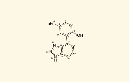 CCCc1ccc(O)c(-c2cccc3[nH]nnc23)c1